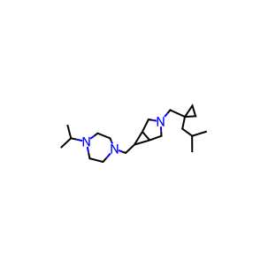 CC(C)CC1(CN2CC3C(CN4CCN(C(C)C)CC4)C3C2)CC1